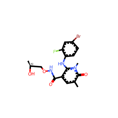 Cc1cc(C(=O)NOC[C@H](C)O)c(Nc2ccc(Br)cc2F)n(C)c1=O